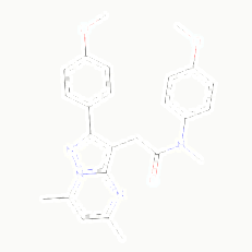 COc1ccc(-c2nn3c(C)cc(C)nc3c2CC(=O)N(C)c2ccc(OC)cc2)cc1